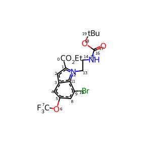 CCOC(=O)c1cc2cc(OC(F)(F)F)cc(Br)c2n1CCNC(=O)OC(C)(C)C